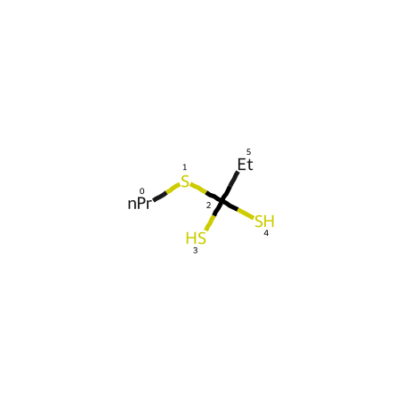 CCCSC(S)(S)CC